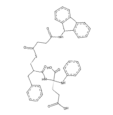 O=C(O)CC[C@@](NC(=O)C(CSC(=O)CCC(=O)NC1c2ccccc2-c2ccccc21)Cc1ccccc1)(Nc1ccccc1)C(=O)O